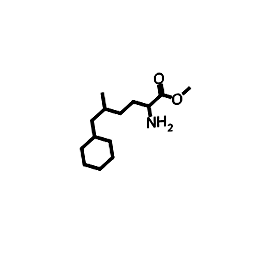 COC(=O)C(N)CCC(C)CC1CCCCC1